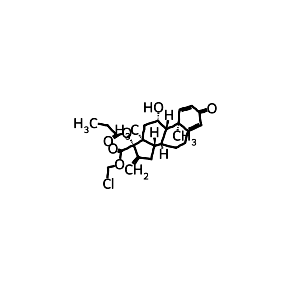 C=C1C[C@H]2[C@@H]3CCC4=CC(=O)C=C[C@]4(C)[C@H]3[C@@H](O)C[C@]2(C)[C@]1(OC(=O)CC)C(=O)OCCl